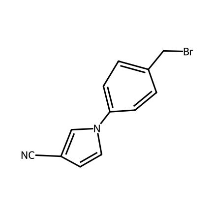 N#Cc1ccn(-c2ccc(CBr)cc2)c1